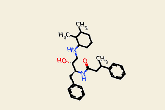 CC(CC(=O)N[C@@H](Cc1ccccc1)[C@H](O)CNC1CCCC(C)C1C)c1ccccc1